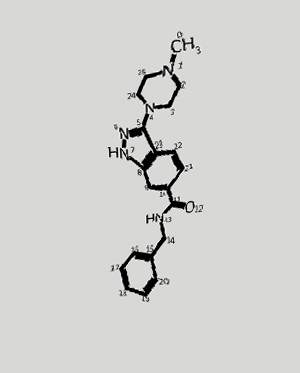 CN1CCN(c2n[nH]c3cc(C(=O)NCc4ccccc4)ccc23)CC1